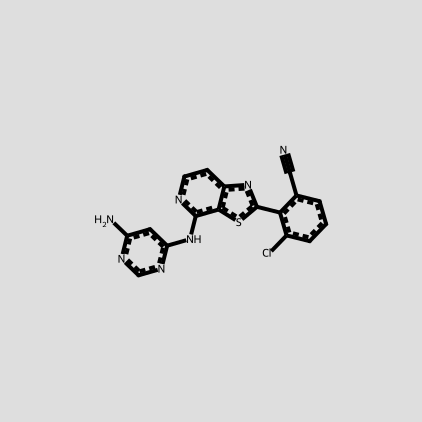 N#Cc1cccc(Cl)c1-c1nc2ccnc(Nc3cc(N)ncn3)c2s1